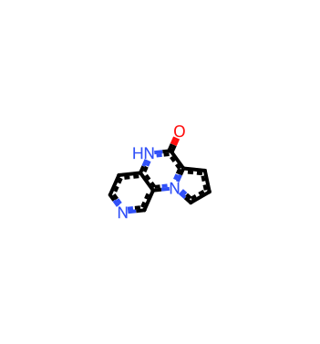 O=c1[nH]c2ccncc2n2cccc12